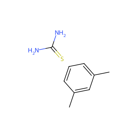 Cc1cccc(C)c1.NC(N)=S